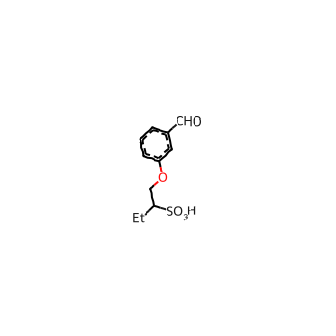 CCC(COc1cccc(C=O)c1)S(=O)(=O)O